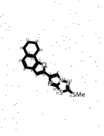 CSc1nn2cc(-c3cc4ccc5c(c4o3)CCCC5)nc2s1